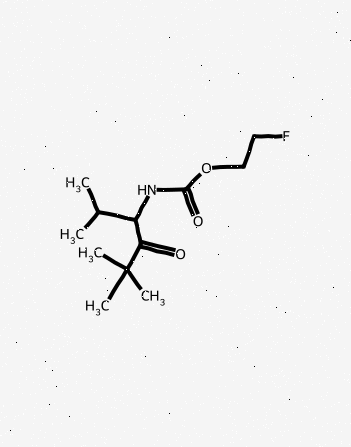 CC(C)C(NC(=O)OCCF)C(=O)C(C)(C)C